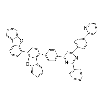 c1ccc(-c2nc(-c3ccc(-c4ccccn4)cc3)cc(-c3ccc(-c4ccc(-c5cccc6c5oc5ccccc56)c5oc6ccccc6c45)cc3)n2)cc1